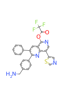 NCc1ccc(-c2nc3c(-c4cncs4)cnc(OC(=O)C(F)(F)F)c3cc2-c2ccccc2)cc1